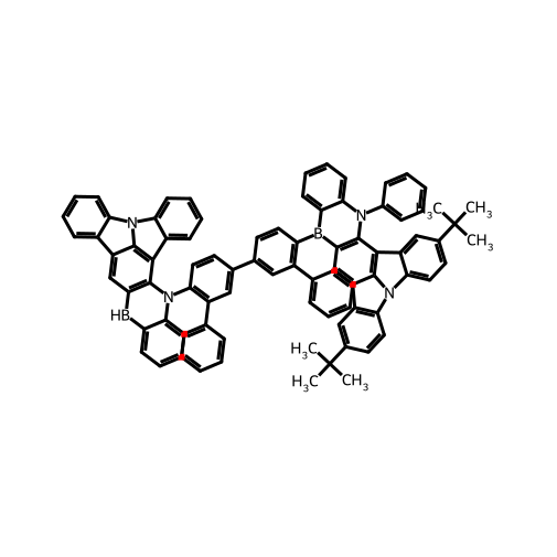 CC(C)(C)c1ccc2c(c1)c1cc3c(c4c5cc(C(C)(C)C)ccc5n2c14)N(c1ccccc1)c1ccccc1B3c1ccc(-c2ccc(N3c4ccccc4Bc4cc5c6ccccc6n6c7ccccc7c(c43)c56)c(-c3ccccc3)c2)cc1-c1ccccc1